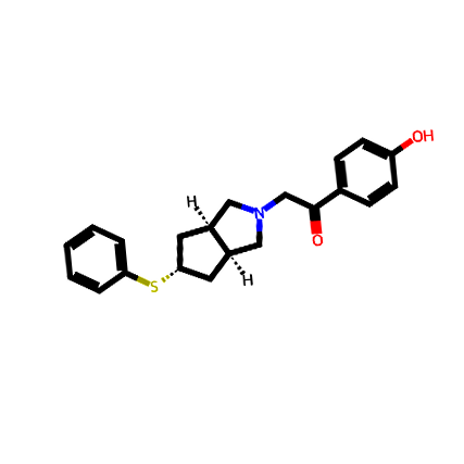 O=C(CN1C[C@H]2C[C@H](Sc3ccccc3)C[C@H]2C1)c1ccc(O)cc1